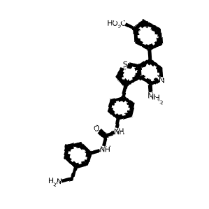 NCc1cccc(NC(=O)Nc2ccc(-c3csc4c(-c5cccc(C(=O)O)c5)cnc(N)c34)cc2)c1